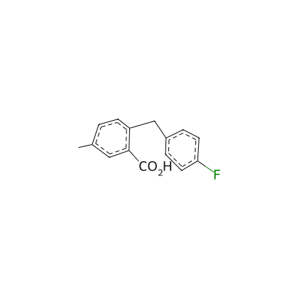 Cc1ccc(Cc2ccc(F)cc2)c(C(=O)O)c1